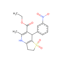 CCOC(=O)C1=C(C)NC2=C(C1c1cccc([N+](=O)[O-])c1)S(=O)(=O)CC2